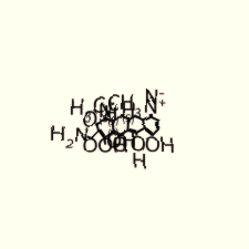 CN(C)[C@@H]1C(=O)C(C(N)=O)=C(O)[C@@]2(O)C(=O)C3=C(O)C4=C(O)C=CC(=[N+]=[N-])C4C[C@H]3C[C@@H]12